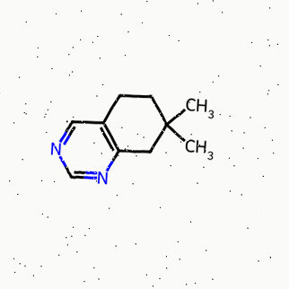 CC1(C)CCc2[c]ncnc2C1